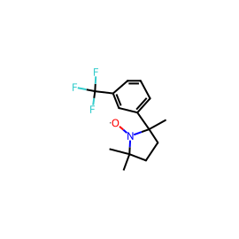 CC1(C)CCC(C)(c2cccc(C(F)(F)F)c2)N1[O]